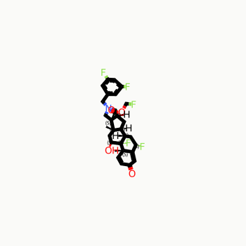 C[C@]12C=CC(=O)C=C1[C@@H](F)C[C@H]1[C@@H]3C[C@H]4CN(Cc5cc(F)cc(F)c5)C[C@@]4(C(=O)OCF)[C@@]3(C)C[C@H](O)[C@@]12F